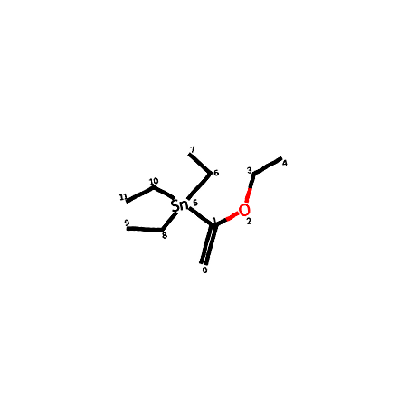 C=[C](OCC)[Sn]([CH2]C)([CH2]C)[CH2]C